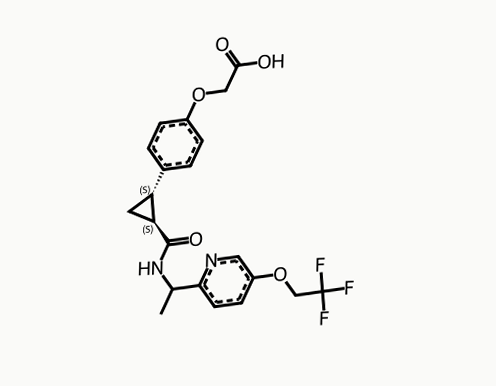 CC(NC(=O)[C@H]1C[C@@H]1c1ccc(OCC(=O)O)cc1)c1ccc(OCC(F)(F)F)cn1